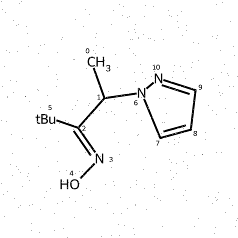 CC(C(=NO)C(C)(C)C)n1cccn1